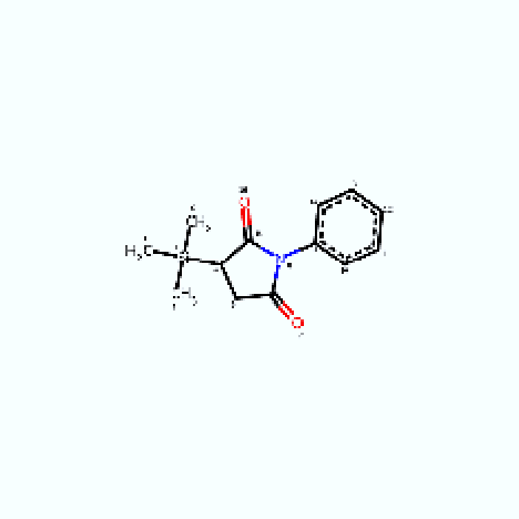 C[Si](C)(C)C1CC(=O)N(c2ccccc2)C1=O